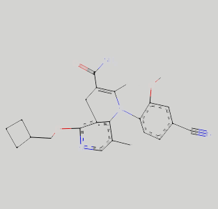 COc1cc(C#N)ccc1N1C(C)=C(C(N)=O)Cc2c(OCC3CCC3)ncc(C)c21